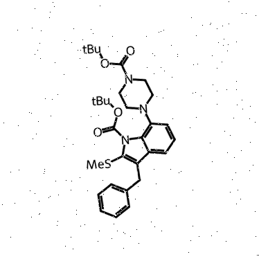 CSc1c(Cc2ccccc2)c2cccc(N3CCN(C(=O)OC(C)(C)C)CC3)c2n1C(=O)OC(C)(C)C